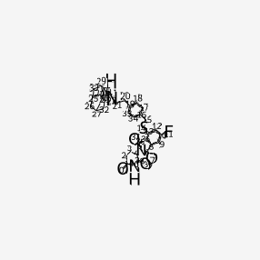 O=C1CCC(N2C(=O)c3cc(F)cc(SCc4ccc(CCNC56CC7CC(CC(C7)C5)C6)cc4)c3C2=O)C(=O)N1